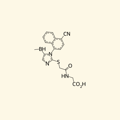 CBc1cnc(SCC(=O)NCC(=O)O)n1-c1ccc(C#N)c2ccccc12